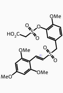 COc1cc(OC)c(/C=C/S(=O)(=O)Cc2ccc(OC)c(OS(=O)(=O)CC(=O)O)c2)c(OC)c1